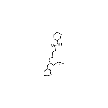 O=C(CCCCN(CCO)Cc1ccccc1)NC1CCCCC1